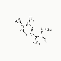 CN(C(=O)OC(C)(C)C)c1cnc(N)c(C(F)(F)F)c1